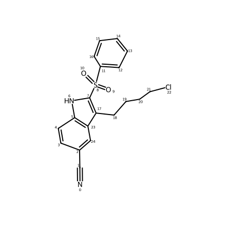 N#Cc1ccc2[nH]c(S(=O)(=O)c3ccccc3)c(CCCCCl)c2c1